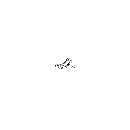 O=C([O-])[O-].O=S.[Na+].[Na+]